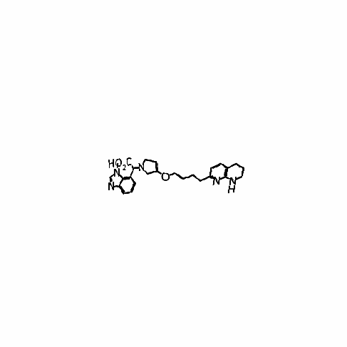 Cn1cnc2cccc(C(C(=O)O)N3CCC(OCCCCc4ccc5c(n4)NCCC5)C3)c21